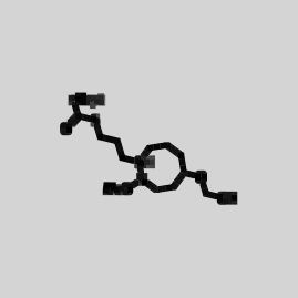 CCCCCCCC(=O)SCCC[SiH]1CCCC(OCO)CCN1OC